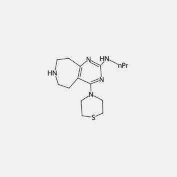 CCCNc1nc2c(c(N3CCSCC3)n1)CCNCC2